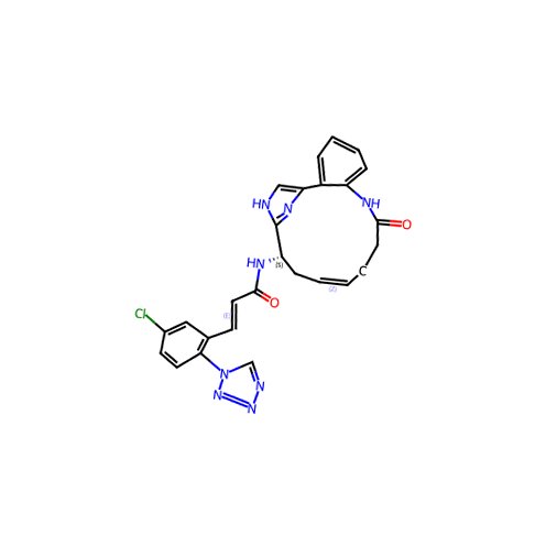 O=C(/C=C/c1cc(Cl)ccc1-n1cnnn1)N[C@H]1C/C=C\CCC(=O)Nc2ccccc2-c2c[nH]c1n2